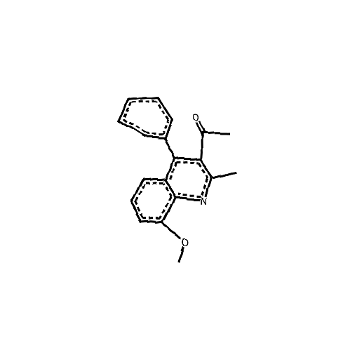 COc1cccc2c(-c3ccccc3)c(C(C)=O)c(C)nc12